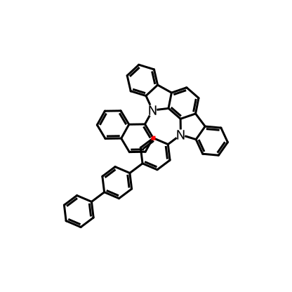 c1ccc(-c2ccc(-c3ccc(-n4c5ccccc5c5ccc6c7ccccc7n(-c7cccc8ccccc78)c6c54)cc3)cc2)cc1